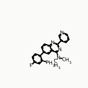 CN(C)c1nc(-c2cccnc2)nc2ccc(-c3ccc(F)cc3P)cc12